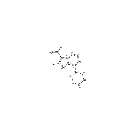 CC(=O)c1c(C)nc2c(N3CCOCC3)nccn12